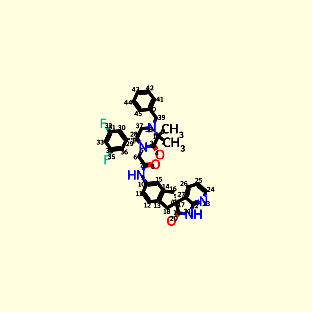 CC1(C)C(=O)N(CC(=O)Nc2ccc3c(c2)C[C@@]2(C3)C(=O)Nc3ncccc32)[C@H](c2cc(F)cc(F)c2)CN1Cc1ccccc1